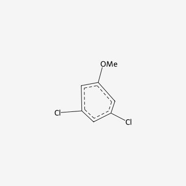 [CH2]Oc1cc(Cl)cc(Cl)c1